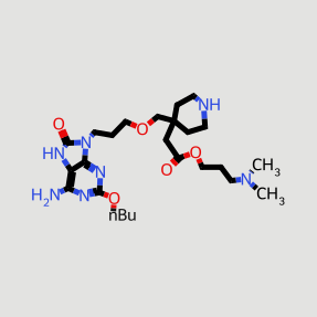 CCCCOc1nc(N)c2[nH]c(=O)n(CCCOCC3(CC(=O)OCCCN(C)C)CCNCC3)c2n1